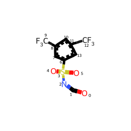 O=C=NS(=O)(=O)c1cc(C(F)(F)F)cc(C(F)(F)F)c1